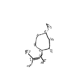 FC(F)=C(F)[C@H]1CC[C@H](F)CC1